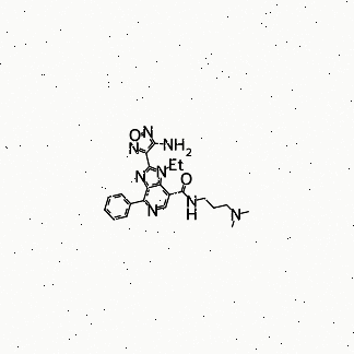 CCn1c(-c2nonc2N)nc2c(-c3ccccc3)ncc(C(=O)NCCCN(C)C)c21